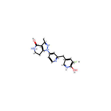 Cc1nn(-c2ccnc(Cc3cnc(O)c(F)c3)c2)c2c1C(=O)NCC2